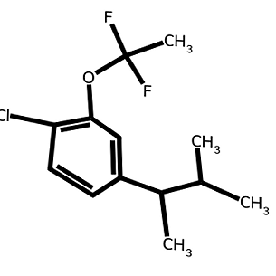 CC(C)C(C)c1ccc(Cl)c(OC(C)(F)F)c1